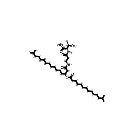 CC(C)CCCCCCCCCCCC(=O)OC(CCCCCCCCCCCC(C)C)CC(=O)NCCC(=O)N[C@H](C(=O)O)[C@@H](C)O